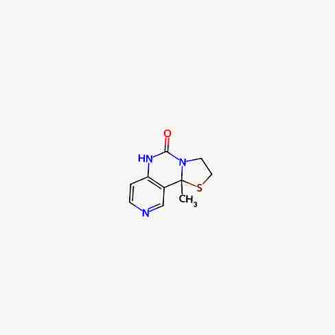 CC12SCCN1C(=O)Nc1ccncc12